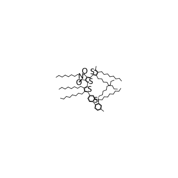 CCCCCCCCc1c(C)sc(-c2sc(-c3sc(-c4ccc5c(c4)[Si](CCCCCCCC)(CCCCCCCC)c4cc(C)ccc4-5)c(CCCCCCCC)c3CCCCCCCC)c3c2C(=O)N(CCCCCCCC)C3=O)c1CCCCCCCC